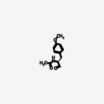 COc1ccc(C[C@H]([C]=O)NC(C)=O)cc1